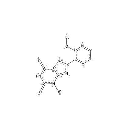 CCOc1ncccc1-c1nc2c([nH]1)c(=O)[nH]c(=O)n2C(C)C